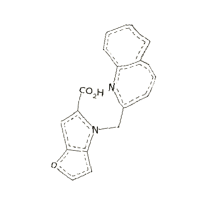 O=C(O)c1cc2occc2n1Cc1ccc2ccccc2n1